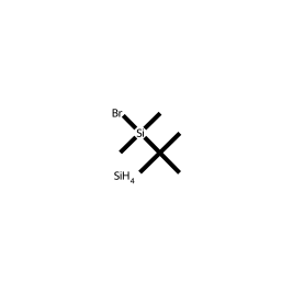 CC(C)(C)[Si](C)(C)Br.[SiH4]